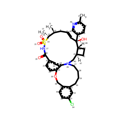 Cc1ccc([C@@]2(O)/C=C/C[C@H](C)[C@@H](C)S(=O)(=O)NC(=O)c3ccc4c(c3)N(CCCCc3cc(Cl)ccc3CO4)C[C@@H]3CC[C@H]32)cn1